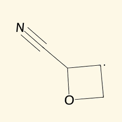 N#CC1[CH]CO1